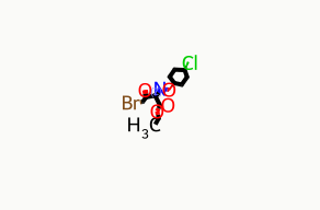 CCOC(=O)/C(=N\O[C@H]1CC[C@@H](Cl)CC1)C(=O)CBr